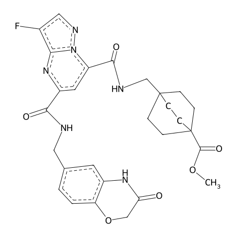 COC(=O)C12CCC(CNC(=O)c3cc(C(=O)NCc4ccc5c(c4)NC(=O)CO5)nc4c(F)cnn34)(CC1)CC2